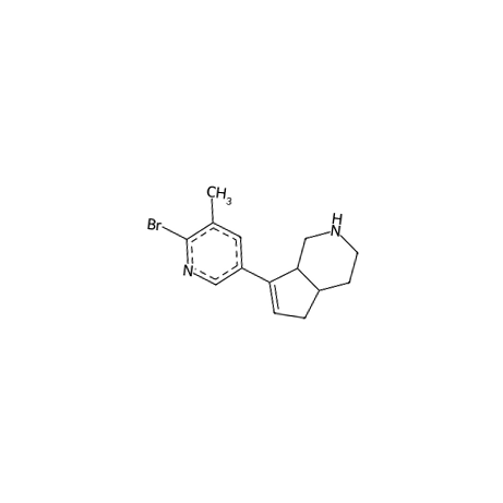 Cc1cc(C2=CCC3CCNCC23)cnc1Br